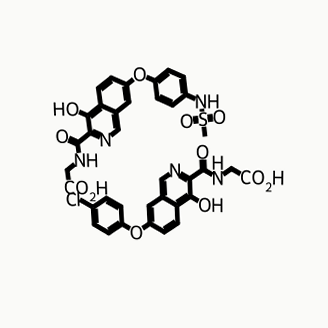 CS(=O)(=O)Nc1ccc(Oc2ccc3c(O)c(C(=O)NCC(=O)O)ncc3c2)cc1.O=C(O)CNC(=O)c1ncc2cc(Oc3ccc(Cl)cc3)ccc2c1O